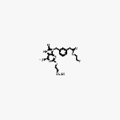 CCOC(=O)CCSc1nc(N)c2[nH]c(=O)n(Cc3cccc(CC(=O)OCCF)c3)c2n1